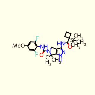 COc1cc(F)c(NC(=O)N2Cc3c(NC(=O)C4([Si](C)(C)C)CCC4)n[nH]c3C2(C)C)c(F)c1